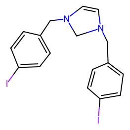 Ic1ccc(CN2C=CN(Cc3ccc(I)cc3)C2)cc1